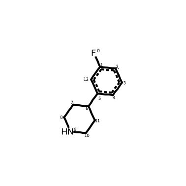 Fc1[c]ccc(C2CCNCC2)c1